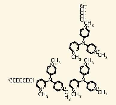 C[n+]1ccc(N(c2cc[n+](C)cc2)c2ccc[n+](C)c2)cc1.C[n+]1ccc(N(c2cc[n+](C)cc2)c2ccc[n+](C)c2)cc1.C[n+]1ccc(N(c2cc[n+](C)cc2)c2ccc[n+](C)c2)cc1.[Br+].[Cl-].[Cl-].[Cl-].[Cl-].[Cl-].[Cl-].[Cl-].[Cl-].[Cl-].[Cl-].[Cl-].[I+]